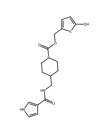 O=C(NCC1CCN(C(=O)OCc2ccc(O)s2)CC1)c1cc[nH]c1